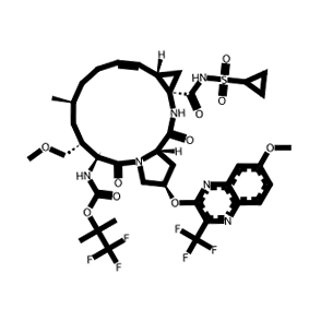 COC[C@@H]1C[C@@H](C)CC/C=C\[C@@H]2C[C@@]2(C(=O)NS(=O)(=O)C2CC2)NC(=O)[C@@H]2C[C@@H](Oc3nc4cc(OC)ccc4nc3C(F)(F)F)CN2C(=O)[C@H]1NC(=O)OC(C)(C)C(F)(F)F